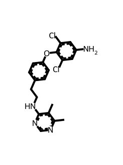 Cc1ncnc(NCCc2ccc(Oc3c(Cl)cc(N)cc3Cl)cc2)c1C